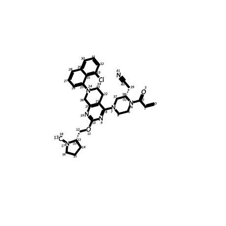 C=CC(=O)N1CCN(c2nc(OC[C@@H]3CCCN3[13CH3])nc3c2CCN(c2cccc4cccc(Cl)c24)C3)C[C@@H]1CC#N